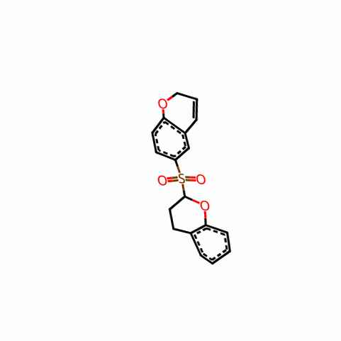 O=S(=O)(c1ccc2c(c1)C=CCO2)C1CCc2ccccc2O1